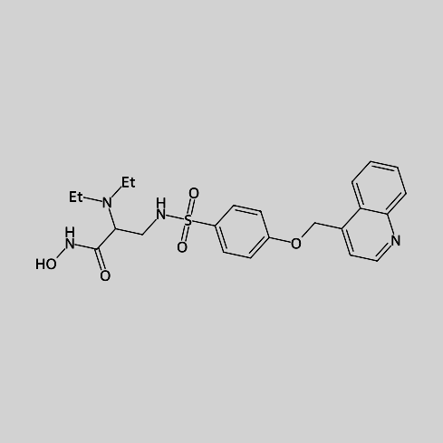 CCN(CC)C(CNS(=O)(=O)c1ccc(OCc2ccnc3ccccc23)cc1)C(=O)NO